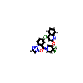 O=C(c1cc(Cl)ccc1-n1nccn1)N1CCC(F)(F)C(Oc2ccc3ccccc3n2)C1